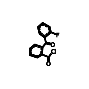 O=C(Cl)c1ccccc1C(=O)c1ccccc1F